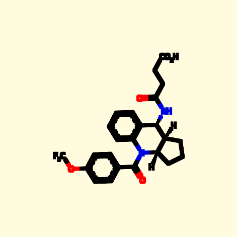 O=C(O)CCC(=O)N[C@H]1c2ccccc2N(C(=O)c2ccc(OC(F)(F)F)cc2)[C@@H]2CCC[C@@H]21